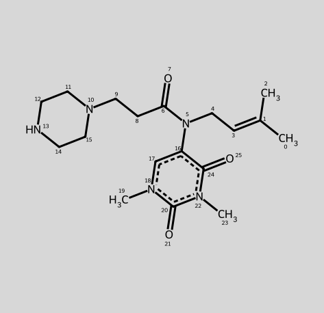 CC(C)=CCN(C(=O)CCN1CCNCC1)c1cn(C)c(=O)n(C)c1=O